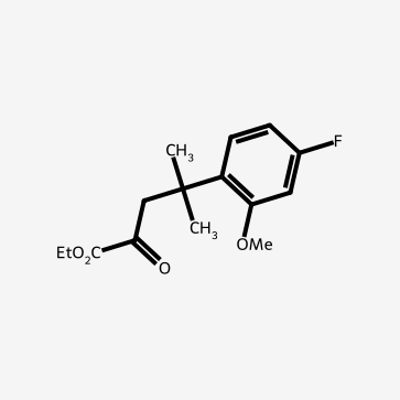 CCOC(=O)C(=O)CC(C)(C)c1ccc(F)cc1OC